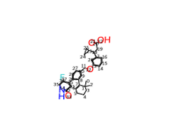 CC1(C)CCCC=C1c1cc(COc2cccc([C@H](CC(=O)O)C3CC3)c2)ccc1-c1cc(=O)[nH]cc1F